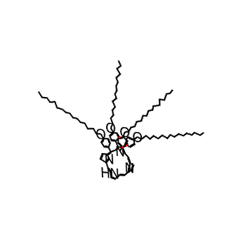 CCCCCCCCCCCCCCCCOc1ccc(-c2c(-c3ccc(OCCCCCCCCCCCCCCCC)cc3)c3c(-c4ccc(OCCCCCCCCCCCCCCCC)cc4)c4nc(cc5ccc(cc6nc(cc2n3-c2ccc(OCCCCCCCCCCCCCCCC)cc2)C=C6)[nH]5)C=C4)cc1